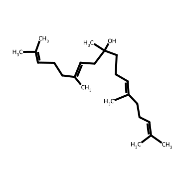 CC(C)=CCC/C(C)=C/CCC(C)(O)C/C=C(\C)CCC=C(C)C